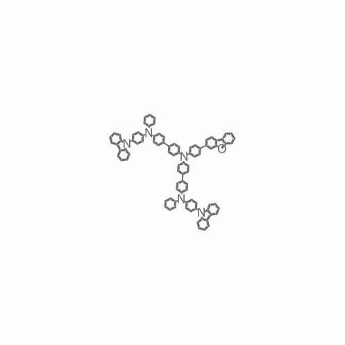 c1ccc(N(c2ccc(-c3ccc(N(c4ccc(-c5ccc(N(c6ccccc6)c6ccc(-n7c8ccccc8c8ccccc87)cc6)cc5)cc4)c4ccc(-c5ccc6c(c5)oc5ccccc56)cc4)cc3)cc2)c2ccc(-n3c4ccccc4c4ccccc43)cc2)cc1